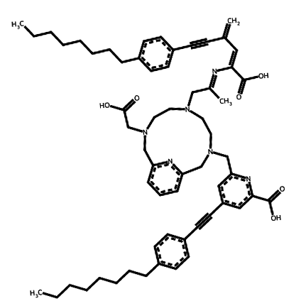 C=C(C#Cc1ccc(CCCCCCCC)cc1)/C=C(\N=C(/C)CN1CCN(CC(=O)O)Cc2cccc(n2)CN(Cc2cc(C#Cc3ccc(CCCCCCCC)cc3)cc(C(=O)O)n2)CC1)C(=O)O